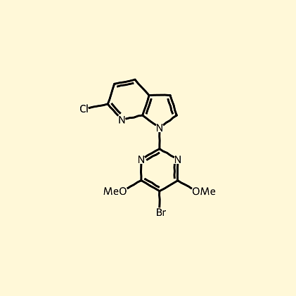 COc1nc(-n2ccc3ccc(Cl)nc32)nc(OC)c1Br